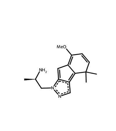 COC1=C2C=c3c(cnn3C[C@@H](C)N)=C2C(C)(C)C=C1